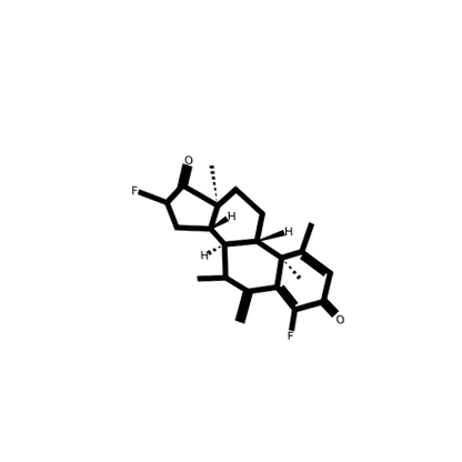 C=C1C2=C(F)C(=O)C=C(C)[C@]2(C)[C@H]2CC[C@]3(C)C(=O)C(F)C[C@H]3[C@@H]2C1C